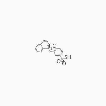 Cc1ccc(S(=O)(=O)S)cc1Cc1cccc2ccccc12